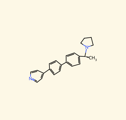 C[C@@H](c1ccc(-c2ccc(-c3ccncc3)cc2)cc1)N1CCCC1